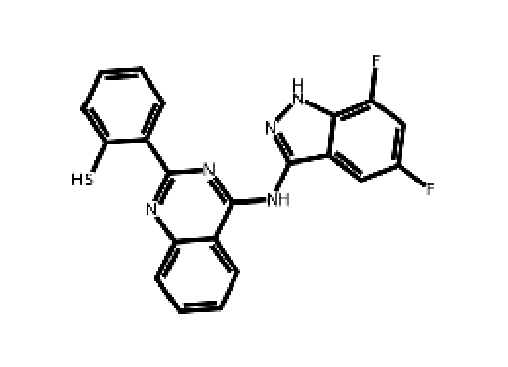 Fc1cc(F)c2[nH]nc(Nc3nc(-c4ccccc4S)nc4ccccc34)c2c1